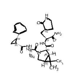 CC1(C)[C@@H]2[C@@H](C(=O)N[C@@H](C[C@@H]3CCNC3=O)C(N)=O)N(C(=O)[Si@@H](NC(=O)[C@@H]3C[C@@H]3c3ccccc3)C(C)(C)C)C[C@@H]21